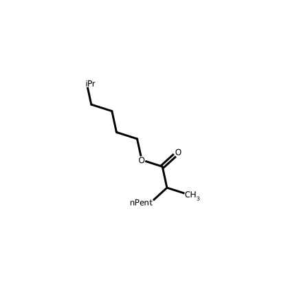 CCCCCC(C)C(=O)OCCCCC(C)C